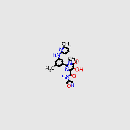 Cc1cc(Nc2cccc(C)n2)cc(-c2nc(C(=O)Nc3cnoc3)c(O)c(=O)n2C)c1